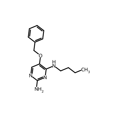 CCCCNc1nc(N)ncc1OCc1ccccc1